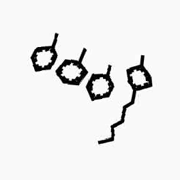 CCCCCCc1ccc(C)cc1.Cc1ccccc1.Cc1ccccc1.Cc1ccccc1